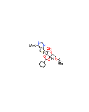 CSc1ncnc2c(C3(O)O[C@H](CO[Si](C)(C)C(C)(C)C)[C@H]4OC(c5ccccc5)O[C@H]43)scc12